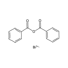 O=C(OC(=O)c1ccccc1)c1ccccc1.[Bi+3]